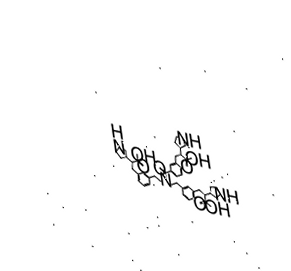 O=C(O)[C@@H](Cc1cccc(CCN(CCc2cccc(C[C@H](C(=O)O)[C@H]3CCNC3)c2)C(=O)c2cccc(C[C@H](C(=O)O)[C@H]3CCNC3)c2)c1)[C@H]1CCNC1